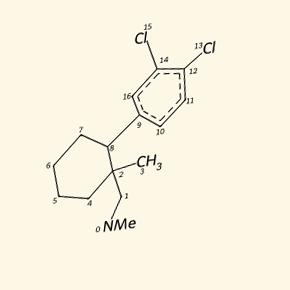 CNCC1(C)CCCCC1c1ccc(Cl)c(Cl)c1